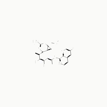 C=C(/C(F)=C(F)\C=C(/C)Nc1nccc2cc(Cl)cnc12)[C@@]1(C)N=C(N)S[C@@]2(COC)C=C12